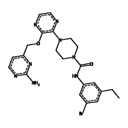 CCc1cc(Br)cc(NC(=O)N2CCN(c3nccnc3OCc3ccnc(N)n3)CC2)c1